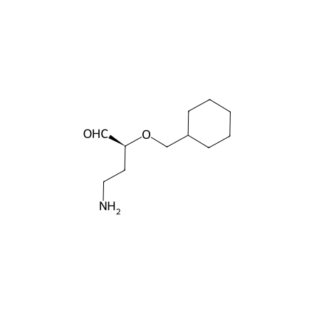 NCC[C@@H](C=O)OCC1CCCCC1